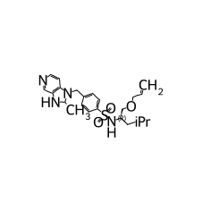 C=CCOC[C@@H](CC(C)C)NS(=O)(=O)c1ccc(CN2c3ccncc3NC2C)cc1